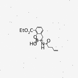 C=CCCC(=O)N[C@H]1Cc2cccc(C(=O)OCC)c2OB1O